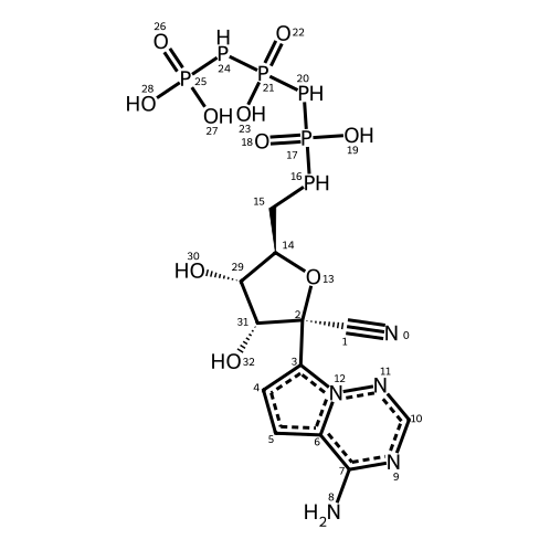 N#C[C@@]1(c2ccc3c(N)ncnn23)O[C@H](CPP(=O)(O)PP(=O)(O)PP(=O)(O)O)[C@@H](O)[C@H]1O